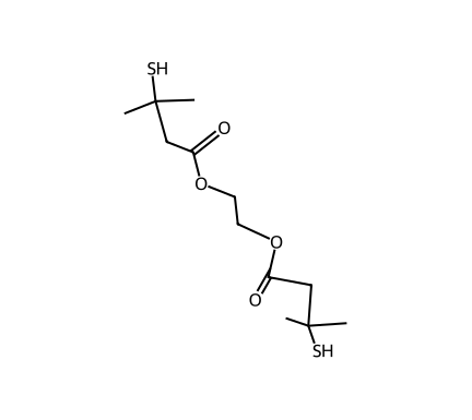 CC(C)(S)CC(=O)OCCOC(=O)CC(C)(C)S